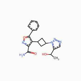 CC(O)c1cnnn1C1CC(c2c(C(N)=O)noc2-c2ccccc2)C1